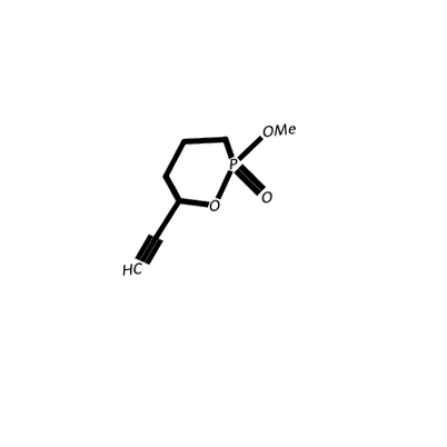 C#CC1CCCP(=O)(OC)O1